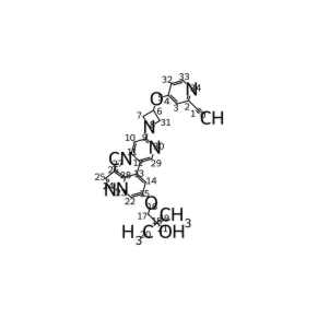 C#Cc1cc(OC2CN(c3ccc(-c4cc(OCC(C)(C)O)cn5ncc(C#N)c45)cn3)C2)ccn1